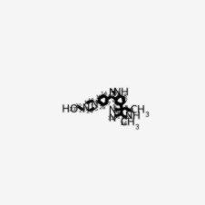 CC1=CC(C#N)(c2ccc3[nH]nc(-c4ccc(N5CCN(CCO)CC5)cc4)c3c2)C(C#N)C(C)N1